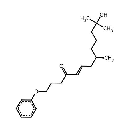 C[C@@H](C/C=C/C(=O)CCCOc1ccccc1)CCCC(C)(C)O